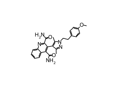 COc1ccc(CCn2nc(C)c(-c3c(C(N)=O)nc4ccccc4c3C(N)=O)c2C)cc1